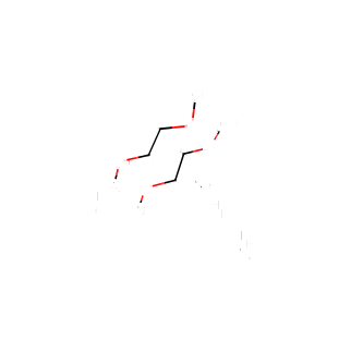 COCC[O][Al+2].COCC[O][Al+2].[H-].[H-].[H-].[H-].[H-].[Na+]